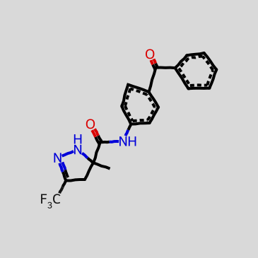 CC1(C(=O)Nc2ccc(C(=O)c3ccccc3)cc2)CC(C(F)(F)F)=NN1